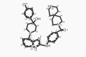 O=C(c1ccc(Nc2nc3c(N4CCC(O)(c5ccc(Cl)cc5)CC4)cccn3n2)cc1)N1CCC2(CCNCC2)CC1